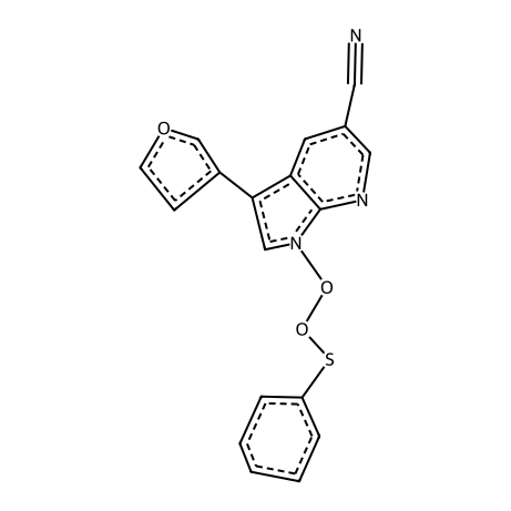 N#Cc1cnc2c(c1)c(-c1ccoc1)cn2OOSc1ccccc1